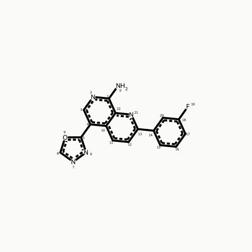 Nc1ncc(-c2nnco2)c2ccc(-c3cccc(F)c3)nc12